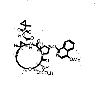 CC[C@@H]1O[C@H](C)CC/C=C\[C@@H]2C[C@@]2(C(=O)NS(=O)(=O)C2(C)CC2)NC(=O)[C@@H]2C[C@@H](Oc3ncc(OC)c4ccccc34)CN2C(=O)[C@H]1NC(=O)O